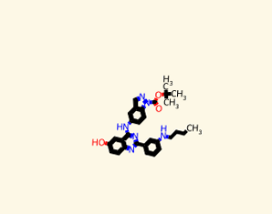 CCCCNc1cccc(-c2nc(Nc3ccc4c(cnn4C(=O)OC(C)(C)C)c3)c3cc(O)ccc3n2)c1